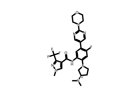 CN(C)[C@@H]1CCN(c2cc(F)c(-c3cnc(N4CCOCC4)nc3)cc2NC(=O)c2cn(C)nc2C(F)(F)F)C1